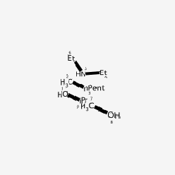 CC(C)O.CCCCCC.CCNCC.CO